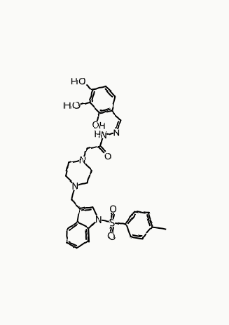 Cc1ccc(S(=O)(=O)n2cc(CN3CCN(CC(=O)N/N=C\c4ccc(O)c(O)c4O)CC3)c3ccccc32)cc1